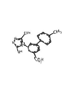 COc1nnc(C(C)C)n1-c1cc(C(=O)O)cc(-c2ccc(C)cc2)c1